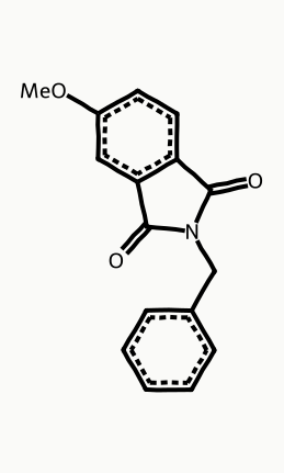 COc1ccc2c(c1)C(=O)N(Cc1ccccc1)C2=O